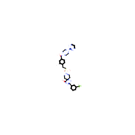 Cc1cc(C(=O)N2CCN(c3ncccn3)CC2)ccc1CCS(=O)(=O)N1CCC2(CC1)N=C(c1cccc(C(F)(F)F)c1)NC2=O